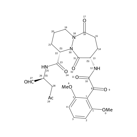 COc1cccc(OC)c1C(=O)C(=O)N[C@H]1CCC(=O)N2CCC[C@@H](C(=O)N[C@H](C=O)CC(C)=O)N2C1=O